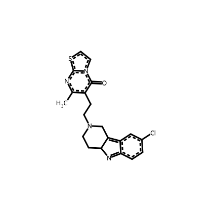 Cc1nc2sccn2c(=O)c1CCN1CCC2N=c3ccc(Cl)cc3=C2C1